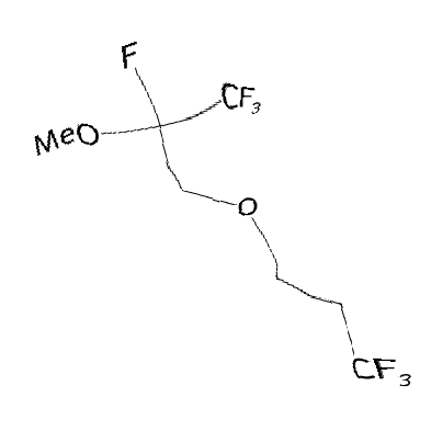 COC(F)(COCCC(F)(F)F)C(F)(F)F